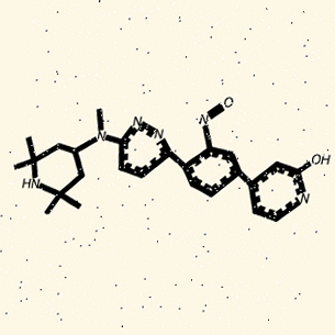 CN(c1ccc(-c2ccc(-c3ccnc(O)c3)cc2N=O)nn1)C1CC(C)(C)NC(C)(C)C1